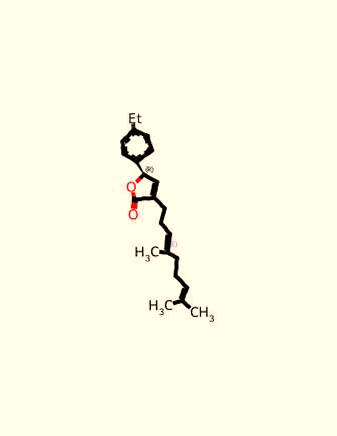 CCc1ccc([C@H]2C=C(CC/C=C(\C)CCC=C(C)C)C(=O)O2)cc1